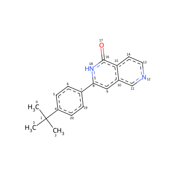 CC(C)(C)c1ccc(-c2cc3cnccc3c(=O)[nH]2)cc1